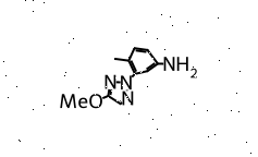 COc1cnn(-c2cc(N)ccc2C)n1